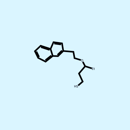 CCC(CCS)OCCc1ccc2ccccc2c1